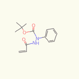 C=CC(=O)NN(C(=O)OC(C)(C)C)c1ccccc1